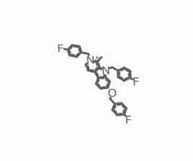 Cc1c2c(cc[n+]1Cc1ccc(F)cc1)c1ccc(OCc3ccc(F)cc3)cc1n2Cc1ccc(F)cc1